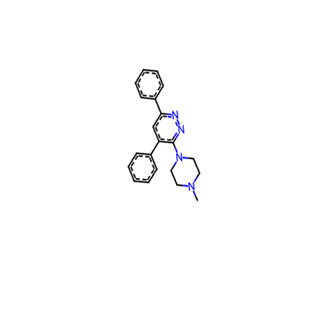 CN1CCN(c2nnc(-c3ccccc3)cc2-c2ccccc2)CC1